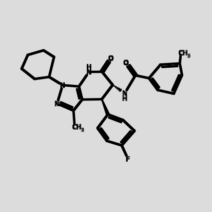 Cc1cccc(C(=O)N[C@H]2C(=O)Nc3c(c(C)nn3C3CCCCC3)[C@@H]2c2ccc(F)cc2)c1